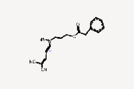 CC(C)N(/C=C/C=C(C#N)C#N)CCCOC(=O)Cc1ccccc1